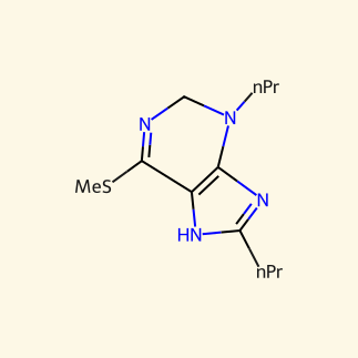 CCCc1nc2c([nH]1)C(SC)=NCN2CCC